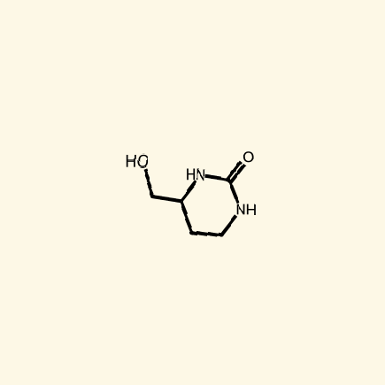 O=C1NCCC(CO)N1